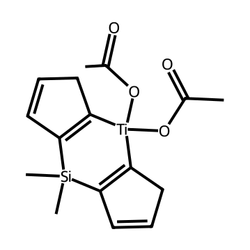 CC(=O)[O][Ti]1([O]C(C)=O)[C]2=C(C=CC2)[Si](C)(C)C2=[C]1CC=C2